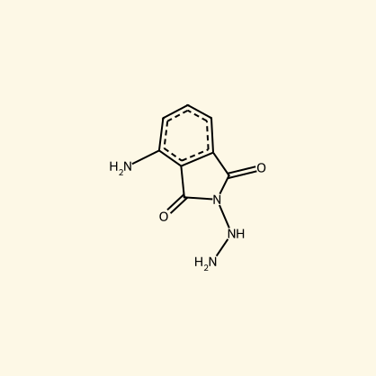 NNN1C(=O)c2cccc(N)c2C1=O